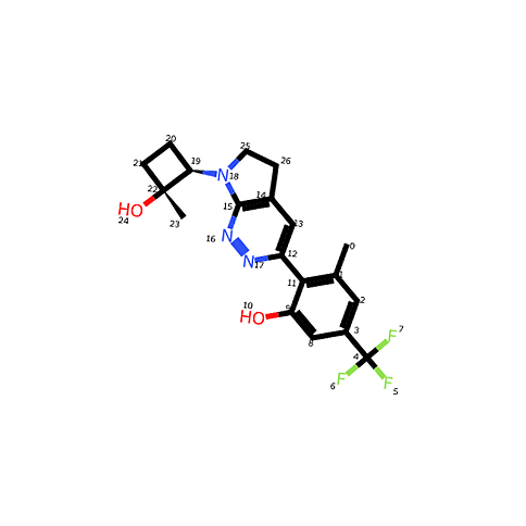 Cc1cc(C(F)(F)F)cc(O)c1-c1cc2c(nn1)N([C@@H]1CC[C@@]1(C)O)CC2